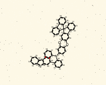 c1ccc(N(c2ccc3c(c2)Oc2cc4c(cc2O3)-c2ccccc2C42c3ccccc3-c3ccccc32)c2ccccc2-c2ccc3c(c2)sc2ccccc23)cc1